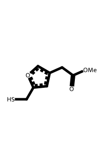 COC(=O)Cc1coc(CS)c1